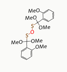 COc1ccccc1C(OC)(OC)SOSC(OC)(OC)c1ccccc1OC